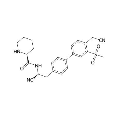 CS(=O)(=O)c1cc(-c2ccc(C[C@@H](C#N)NC(=O)[C@@H]3CCCCN3)cc2)ccc1CC#N